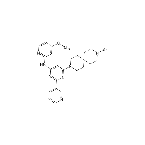 CC(=O)N1CCC2(CC1)CCN(c1cc(Nc3cc(OC(F)(F)F)ccn3)nc(-c3cccnc3)n1)CC2